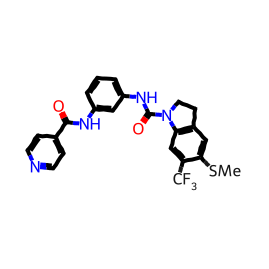 CSc1cc2c(cc1C(F)(F)F)N(C(=O)Nc1cccc(NC(=O)c3ccncc3)c1)CC2